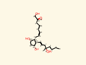 CCCCC(C)(O)C/C=C/[C@@H]1[C@@H](C/C=C\CCCC(=O)CO)[C@@H](O)C[C@H]1O